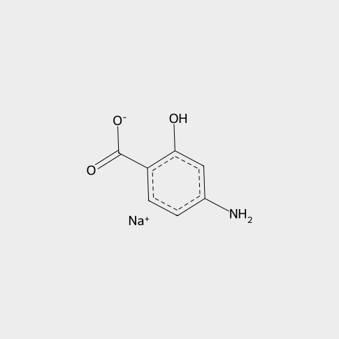 Nc1ccc(C(=O)[O-])c(O)c1.[Na+]